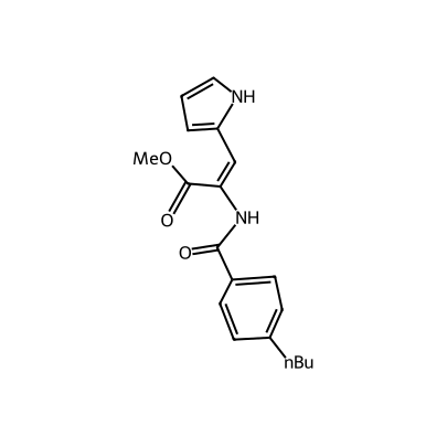 CCCCc1ccc(C(=O)NC(=Cc2ccc[nH]2)C(=O)OC)cc1